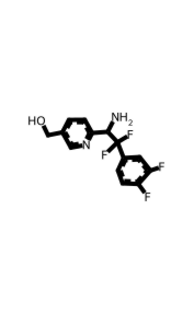 NC(c1ccc(CO)cn1)C(F)(F)c1ccc(F)c(F)c1